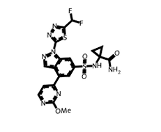 COc1nccc(-c2cc(S(=O)(=O)NC3(C(N)=O)CC3)cc3c2cnn3-c2nnc(C(F)F)s2)n1